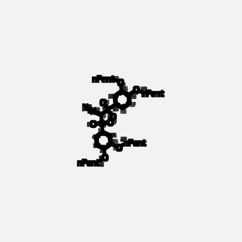 CCCCCOc1ccc(S(=O)(=O)C(=[N+]=[N-])S(=O)(=O)c2ccc(OCCCCC)c(OCCCCC)c2)cc1OCCCCC